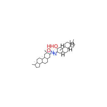 CC1CCC2C3CCC4CC(=NN=C5C[C@@H]6CC[C@@H]7[C@H](CC[C@]8(C)C(C)CC[C@@H]78)[C@@]6(C)C[C@]5(C)O)[C@@](C)(O)C[C@]4(C)C3CC[C@]12C